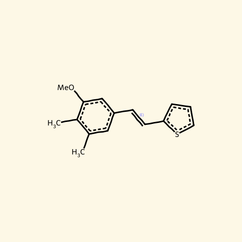 COc1cc(/C=C/c2cccs2)cc(C)c1C